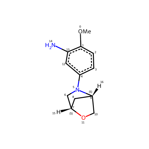 COc1ccc(N2C[C@@H]3C[C@H]2CO3)cc1N